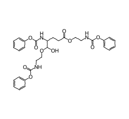 O=C(CCC(NC(=O)Oc1ccccc1)C(O)OCCNC(=O)Oc1ccccc1)OCCNC(=O)Oc1ccccc1